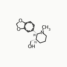 CN1CCC[C@H](CO)[C@@H]1c1ccc2c(c1)OCO2